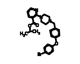 CC(C)OC(=O)c1cccnc1N1CCN(Cc2ccc(Oc3ccc(Br)cc3)cc2)CC1